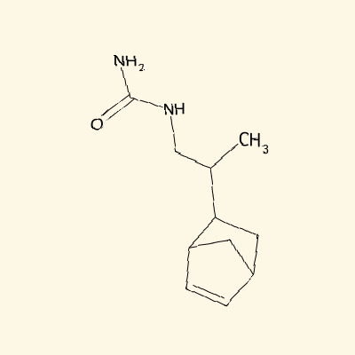 CC(CNC(N)=O)C1CC2C=CC1C2